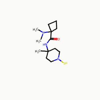 CN(C)C1(C(=O)NC2(C)CCN(S)CC2)CCC1